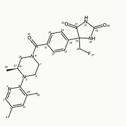 Cc1cnc(N2CCN(C(=O)c3ccc(C4(CF)NC(=O)NC4=O)cc3)C[C@@H]2C)c(C)c1